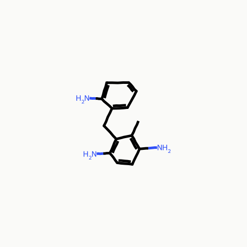 Cc1c(N)ccc(N)c1Cc1ccccc1N